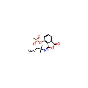 CSCC(C)(C)/N=C1/OC(=O)c2cccc(OS(C)(=O)=O)c21